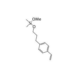 C=Cc1ccc(CCCO[Si](C)(C)OC)cc1